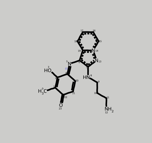 CC1=C(O)/C(=N/c2c(NCCCN)nn3ccccc23)C=CC1=O